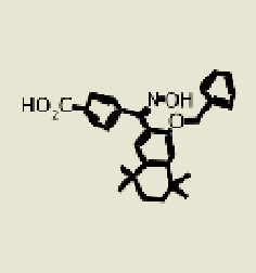 CC1(C)CCC(C)(C)c2cc(/C(=N\O)c3ccc(C(=O)O)cc3)c(OCc3ccccc3)cc21